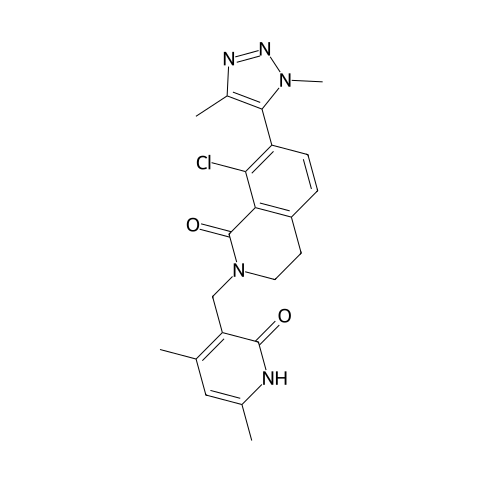 Cc1cc(C)c(CN2CCc3ccc(-c4c(C)nnn4C)c(Cl)c3C2=O)c(=O)[nH]1